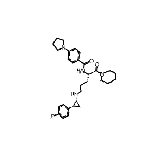 O=C(N[C@@H](CCCN[C@@H]1C[C@H]1c1ccc(F)cc1)C(=O)N1CCCCC1)c1ccc(N2CCCC2)cc1